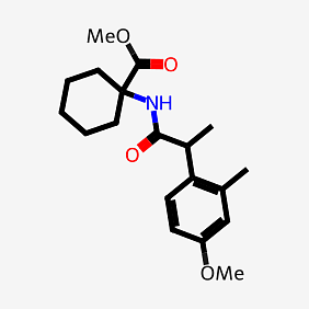 COC(=O)C1(NC(=O)C(C)c2ccc(OC)cc2C)CCCCC1